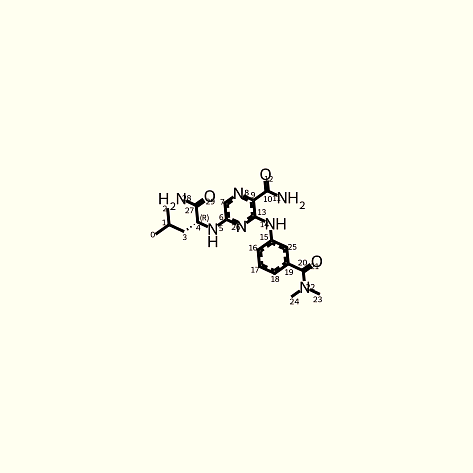 CC(C)C[C@@H](Nc1cnc(C(N)=O)c(Nc2cccc(C(=O)N(C)C)c2)n1)C(N)=O